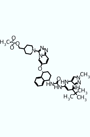 Cn1cc(N/C(=C\C(=N)C(C)(C)C)NC(=O)N[C@H]2CC[C@@H](Oc3ccc4nnc(N5CCC(COS(C)(=O)=O)CC5)n4c3)c3ccccc32)cn1